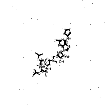 CC(C)OC(=O)[C@H](C)NP(=O)(CC(=O)N(C)C[C@H]1O[C@@H](n2cnc3c(NC4CCCC4)nc(Cl)nc32)[C@H](O)[C@@H]1O)N[C@@H](C)C(=O)OC(C)C